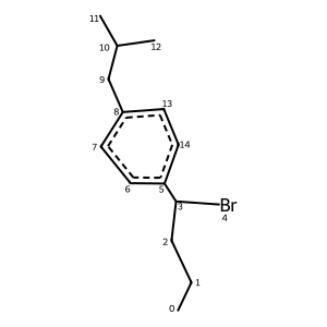 CCCC(Br)c1ccc(CC(C)C)cc1